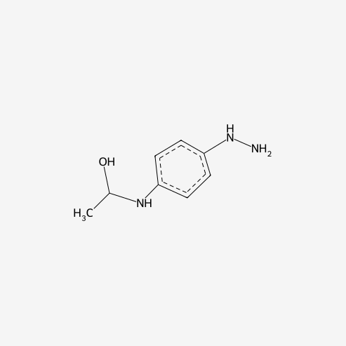 CC(O)Nc1ccc(NN)cc1